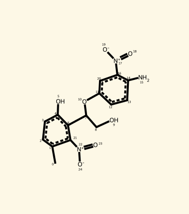 Cc1ccc(O)c(C(CO)Oc2ccc(N)c([N+](=O)[O-])c2)c1[N+](=O)[O-]